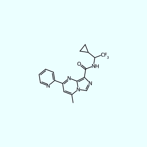 Cc1cc(-c2ccccn2)nc2c(C(=O)NC(C3CC3)C(F)(F)F)ncn12